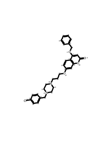 O=c1cc(OCc2ccccc2)c2ccc(OCCCN3CCN(Cc4ccc(Cl)cc4)CC3)cc2o1